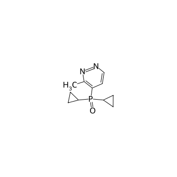 Cc1nnccc1P(=O)(C1CC1)C1CC1